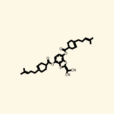 CC(C)=CCCC1=CCC(C(=O)Oc2ccc(OC(=O)C3CC=C(CCC=C(C)C)CC3)c3c2SC(=C(C#N)C#N)S3)CC1